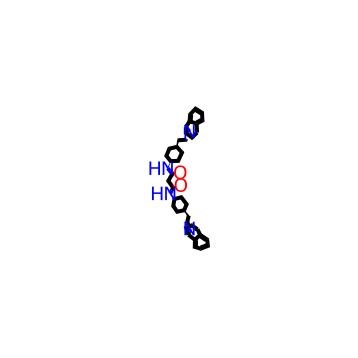 O=C(CC(=O)N[C@H]1CC[C@H](CCN2C3CCC2c2ccccc23)CC1)N[C@H]1CC[C@H](CCN2C3CCC2c2ccccc23)CC1